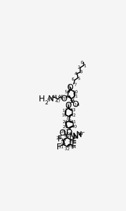 CCCCCCCCOc1ccc(C(=O)Oc2ccc(-c3ccc(OC(=O)C4C(F)=C(F)C=C(F)C4(F)N=[N+]=[N-])cc3)cc2)c(OCCCN)c1